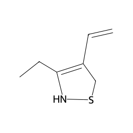 C=CC1=C(CC)NSC1